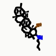 CCCCNC1CC(S)[C@]2(C)[C@H]3CC[C@@H]4[C@@H]5[C@@H](C)[C@H](C)CC[C@]5(C)CC[C@@]4(C)[C@]3(C)CC[C@H]2C1(C)C